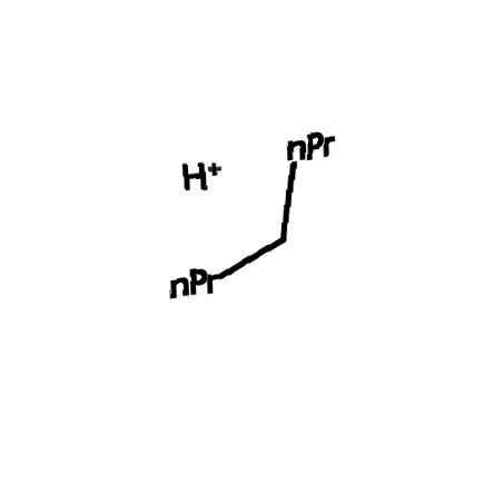 [CH2]CCCCCC.[H+]